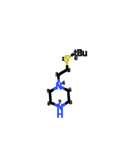 CC(C)(C)SCCN1CCNCC1